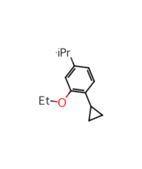 CCOc1cc([C](C)C)ccc1C1CC1